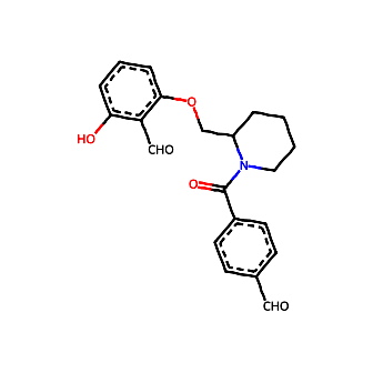 O=Cc1ccc(C(=O)N2CCCCC2COc2cccc(O)c2C=O)cc1